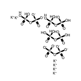 O=P(O)(O)OP(=O)(O)O.O=P(O)(O)OP(=O)(O)O.O=P([O-])([O-])OP(=O)(O)O.O=P([O-])([O-])OP(=O)([O-])[O-].[K+].[K+].[K+].[K+].[K+].[K+]